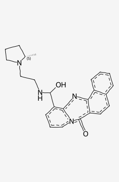 C[C@H]1CCCN1CCNC(O)c1cccn2c(=O)c3ccc4ccccc4c3nc12